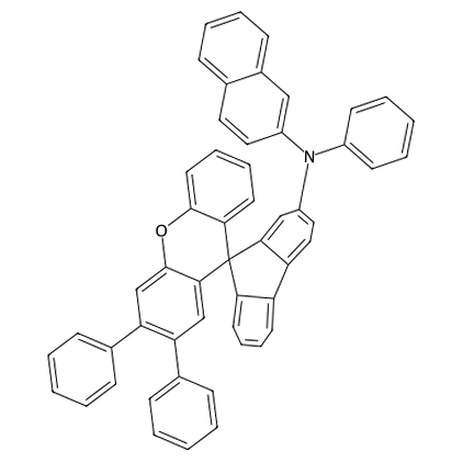 c1ccc(-c2cc3c(cc2-c2ccccc2)C2(c4ccccc4O3)c3ccccc3-c3ccc(N(c4ccccc4)c4ccc5ccccc5c4)cc32)cc1